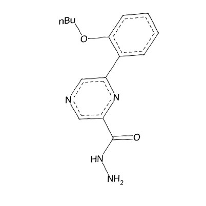 CCCCOc1ccccc1-c1cncc(C(=O)NN)n1